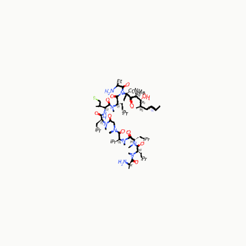 C/C=C/C[C@@H](C)[C@@H](O)[C@H](NC)C(=O)[C@](C)(C(=O)O)N(C(=O)C(N)CC)C(=O)[C@H](CC(C)C)N(C)C(=O)[C@@H](NC(=O)[C@H](CC(C)C)N(C)C(=O)CN(C)C(=O)[C@H](C(C)C)N(C)C(=O)[C@H](CC(C)C)N(C)C(=O)[C@H](CC(C)C)N(C)C(=O)[C@@H](C)N)C(C)CF